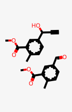 C#CC(O)c1ccc(C)c(C(=O)OC)c1.COC(=O)c1cc(C=O)ccc1C